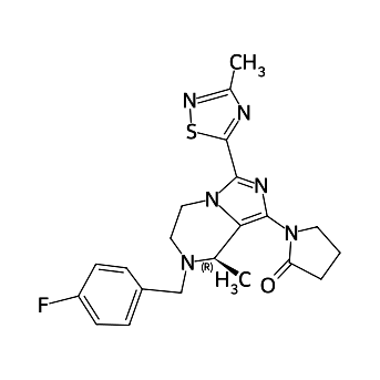 Cc1nsc(-c2nc(N3CCCC3=O)c3n2CCN(Cc2ccc(F)cc2)[C@@H]3C)n1